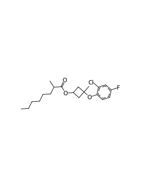 CCCCCCC(C)C(=O)OC1CC(C)(Oc2ccc(F)cc2Cl)C1